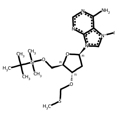 CSCO[C@H]1C[C@H](n2c[n+](I)c3c(N)ncnc32)O[C@@H]1CO[Si](C)(C)C(C)(C)C